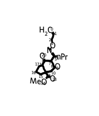 C=CCON=C(CCC)C1C(=O)CC2(C(=O)OC)CCCC2C1=O